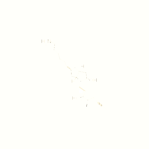 CC#CC[C@@H](C)[C@@H](O)/C=C/[C@@H]1[C@H]2CC(=CCCCCCN)C[C@H]2C[C@H]1O